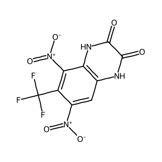 O=c1[nH]c2cc([N+](=O)[O-])c(C(F)(F)F)c([N+](=O)[O-])c2[nH]c1=O